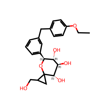 CCOc1ccc(Cc2cccc([C@@H]3OC4(CC4CO)[C@@H](O)[C@H](O)[C@H]3O)c2)cc1